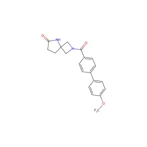 O=C1CCC2(CN(C(=O)c3ccc(-c4ccc(OC(F)(F)F)cc4)cc3)C2)N1